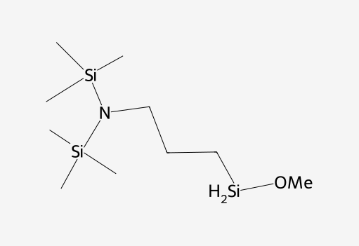 CO[SiH2]CCCN([Si](C)(C)C)[Si](C)(C)C